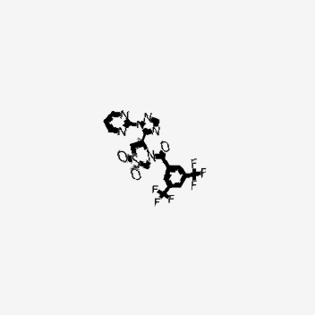 O=C(c1cc(C(F)(F)F)cc(C(F)(F)F)c1)N1CS(=O)(=O)C[C@H]1c1ncnn1-c1ncccn1